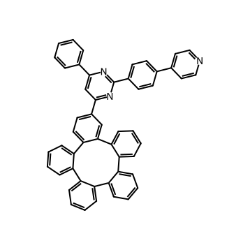 c1ccc(-c2cc(-c3ccc4c5ccccc5c5ccccc5c5ccccc5c5ccccc5c4c3)nc(-c3ccc(-c4ccncc4)cc3)n2)cc1